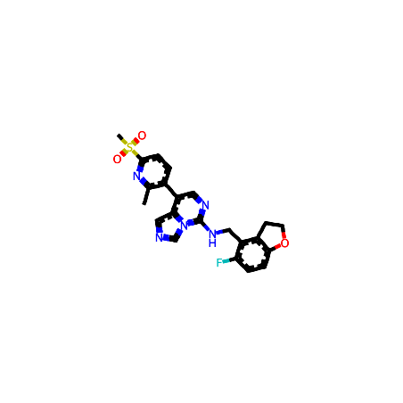 Cc1nc(S(C)(=O)=O)ccc1-c1cnc(NCc2c(F)ccc3c2CCO3)n2cncc12